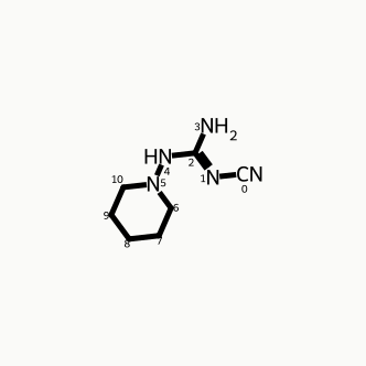 N#CN=C(N)NN1CCCCC1